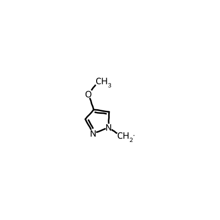 [CH2]n1cc(OC)cn1